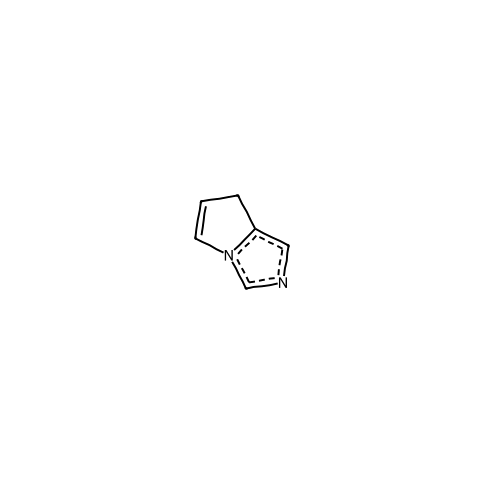 C1=Cn2cncc2C1